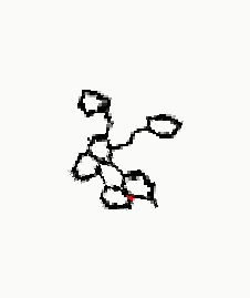 Cc1ccc(-c2c(CCc3ccccc3)c(Cc3ccccc3)[c]c3cccc(-c4ccccc4)c23)cc1